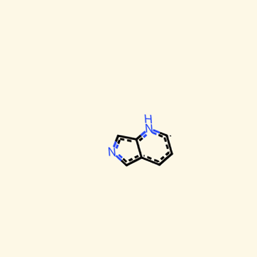 [c]1ccc2cncc-2[nH]1